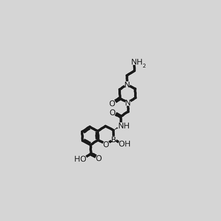 NCCN1CCN(CC(=O)N[C@H]2Cc3cccc(C(=O)O)c3OB2O)C(=O)C1